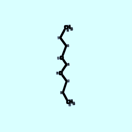 CCCO[CH]OCCC